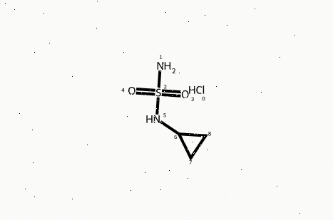 Cl.NS(=O)(=O)NC1CC1